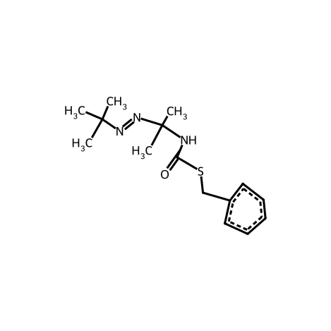 CC(C)(C)N=NC(C)(C)NC(=O)SCc1ccccc1